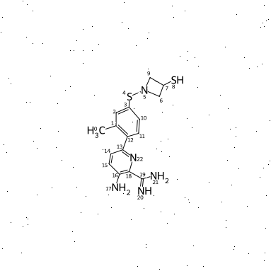 Cc1cc(SN2CC(S)C2)ccc1-c1ccc(N)c(C(=N)N)n1